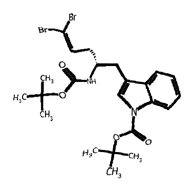 CC(C)(C)OC(=O)N[C@H](CC=C(Br)Br)Cc1cn(C(=O)OC(C)(C)C)c2ccccc12